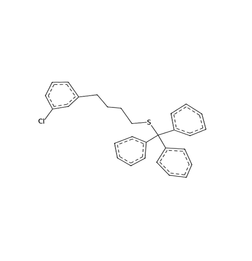 Clc1cccc(CCCCSC(c2ccccc2)(c2ccccc2)c2ccccc2)c1